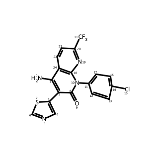 Nc1c(-c2cncs2)c(=O)n(-c2ccc(Cl)cc2)c2nc(C(F)(F)F)ccc12